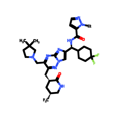 CCn1nccc1C(=O)N[C@H](c1cn2nc(C[C@H]3C[C@@H](C(F)(F)F)CNC3=O)c(CN3CCC(C)(C)C3)nc2n1)C1CCC(F)(F)CC1